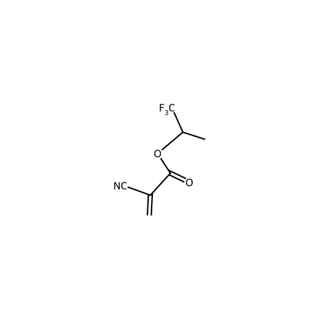 C=C(C#N)C(=O)OC(C)C(F)(F)F